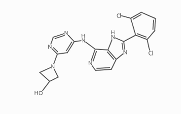 OC1CN(c2cc(Nc3nccc4nc(-c5c(Cl)cccc5Cl)[nH]c34)ncn2)C1